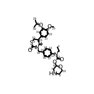 CCN(C(=O)OC1CNCCO1)c1ccc(CN2N=C(c3ccc(OC)c(OC(C)C)c3)CSC2=O)cc1